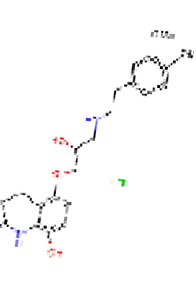 COc1ccc(CCNCC(O)COc2ccc(O)c3c2CCC(=O)N3)cc1OC.Cl